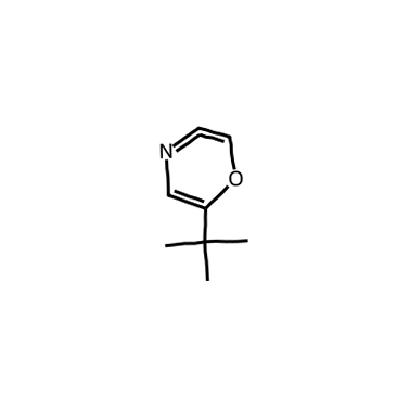 CC(C)(C)C1=CN=C=CO1